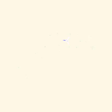 COC(=O)C1CCN([C@@H]2CCc3cc(CCc4cccc(Cl)c4)ccc32)CC1